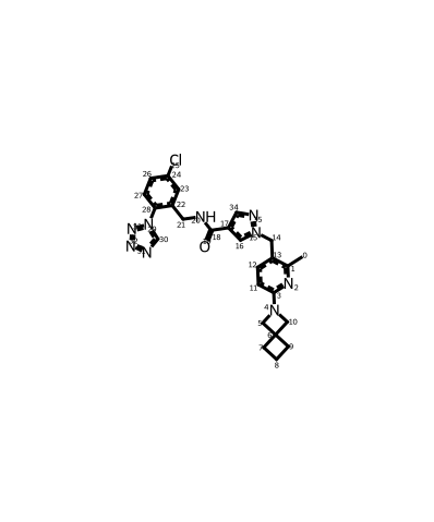 Cc1nc(N2CC3(CCC3)C2)ccc1Cn1cc(C(=O)NCc2cc(Cl)ccc2-n2cnnn2)cn1